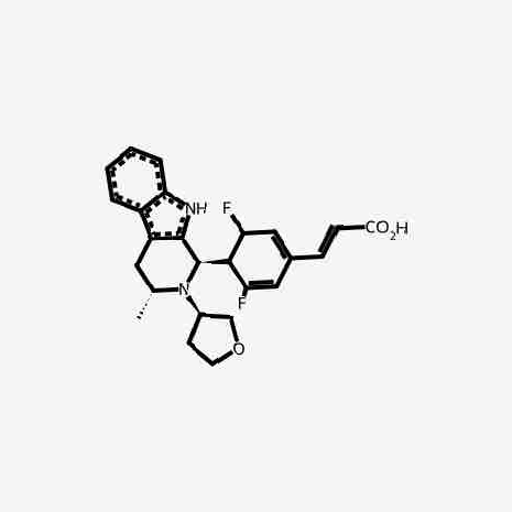 C[C@@H]1Cc2c([nH]c3ccccc23)[C@@H](C2C(F)=CC(/C=C/C(=O)O)=CC2F)N1[C@@H]1CCOC1